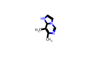 CC1=C(C)C2NC=CN2C=N1